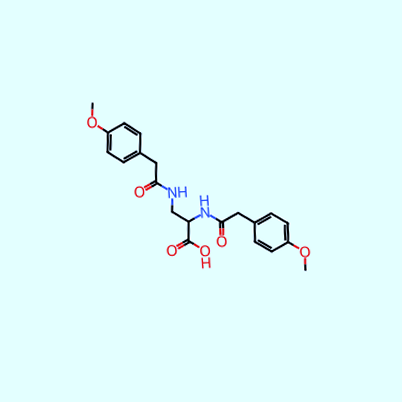 COc1ccc(CC(=O)NCC(NC(=O)Cc2ccc(OC)cc2)C(=O)O)cc1